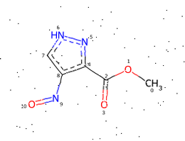 COC(=O)c1n[nH]cc1N=O